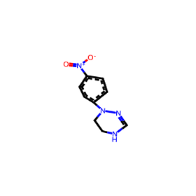 O=[N+]([O-])c1ccc(N2CCNC=N2)cc1